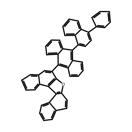 c1ccc(-c2ccc(-c3c4ccccc4c(-c4cc5ccccc5c5c4oc4ccc6ccccc6c45)c4ccccc34)c3ccccc23)cc1